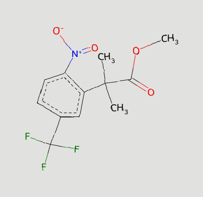 COC(=O)C(C)(C)c1cc(C(F)(F)F)ccc1[N+](=O)[O-]